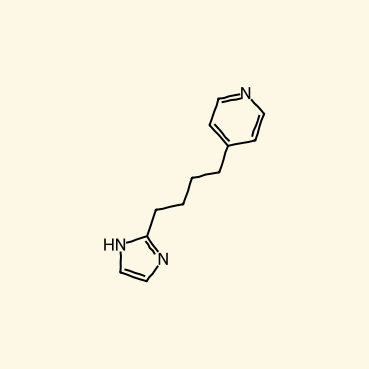 c1cc(CCCCc2ncc[nH]2)ccn1